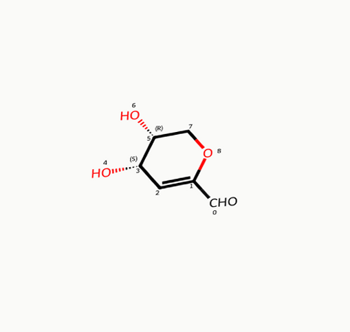 O=CC1=C[C@H](O)[C@H](O)CO1